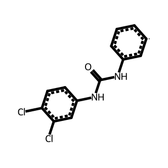 O=C(Nc1c[c]ccc1)Nc1ccc(Cl)c(Cl)c1